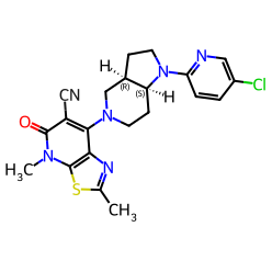 Cc1nc2c(N3CC[C@H]4[C@H](CCN4c4ccc(Cl)cn4)C3)c(C#N)c(=O)n(C)c2s1